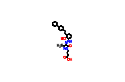 CC1=NN(CCCC(=O)O)C(=O)/C1=N\Nc1cccc(CCc2ccc(-c3ccccc3)cc2)c1O